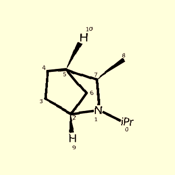 CC(C)N1[C@@H]2CC[C@@H](C2)[C@H]1C